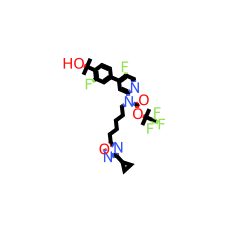 CC(C)(O)c1ccc(-c2cc(N(CCCCCc3nc(C4CC4)no3)C(=O)OC(C)(C)C(F)(F)F)ncc2F)cc1F